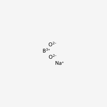 [B+3].[Na+].[O-2].[O-2]